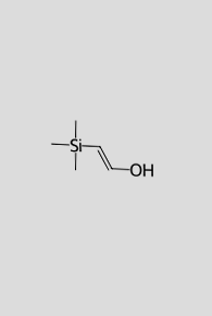 C[Si](C)(C)C=CO